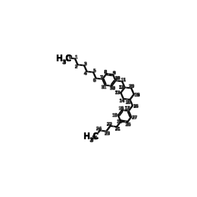 CCCCCCCc1ccc(CC2CCC(Cc3ccc(CCCCC)cc3)CC2)cc1